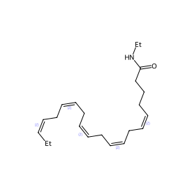 [CH2]CNC(=O)CCC/C=C\C/C=C\C/C=C\C/C=C\C/C=C\CC